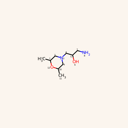 CC1CN(CC(O)CN)CC(C)O1